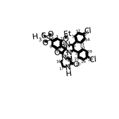 CCOc1cc(S(C)(=O)=O)ccc1C1(C(=O)N2CCNC(=O)C2)NC(c2ccc(Cl)cc2)C(c2ccc(Cl)cc2)N1